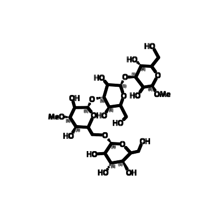 CO[C@@H]1OC(CO)[C@@H](O)[C@H](O[C@@H]2OC(CO)[C@@H](O)[C@H](O[C@@H]3OC(CO[C@@H]4OC(CO)[C@@H](O)[C@H](O)C4O)[C@@H](O)[C@H](OC)C3O)C2O)C1O